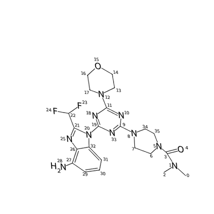 CN(C)C(=O)N1CCN(c2nc(N3CCOCC3)nc(-n3c(C(F)F)nc4c(N)cccc43)n2)CC1